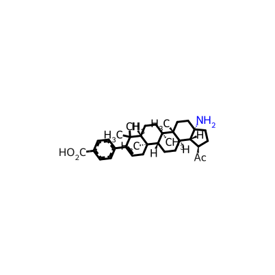 CC(=O)[C@@H]1CC[C@]2(N)CC[C@]3(C)[C@H](CC[C@@H]4[C@@]5(C)CC=C(c6ccc(C(=O)O)cc6)C(C)(C)[C@@H]5CC[C@]43C)[C@@H]12